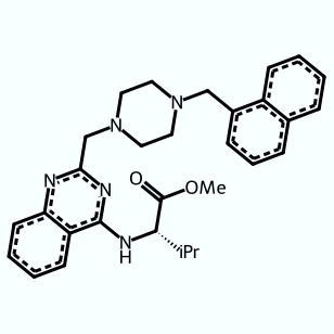 COC(=O)[C@@H](Nc1nc(CN2CCN(Cc3cccc4ccccc34)CC2)nc2ccccc12)C(C)C